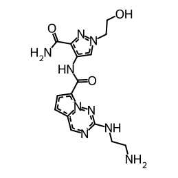 NCCNc1ncc2ccc(C(=O)Nc3cn(CCO)nc3C(N)=O)n2n1